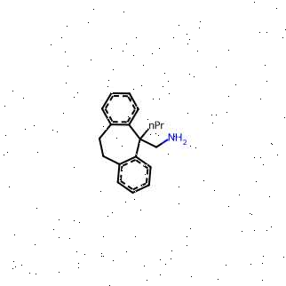 CCCC1(CN)c2ccccc2CCc2ccccc21